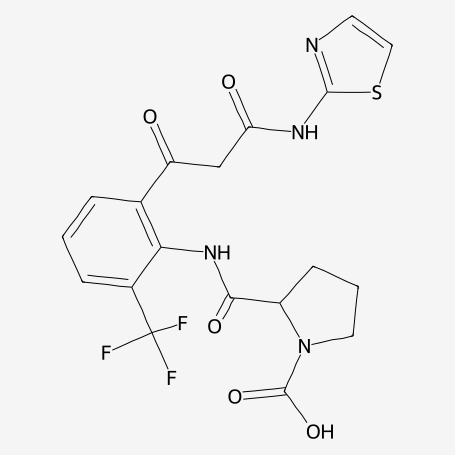 O=C(CC(=O)c1cccc(C(F)(F)F)c1NC(=O)C1CCCN1C(=O)O)Nc1nccs1